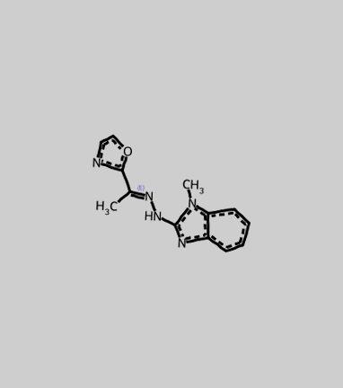 C/C(=N\Nc1nc2ccccc2n1C)c1ncco1